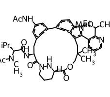 CCn1c(-c2cccnc2[C@H](C)OC)c2c3cc(ccc31)-c1cc(cc(NC(C)=O)c1)C[C@H](NC(=O)[C@H](C(C)C)N(C)C(C)=O)C(=O)N1CCC[C@H](N1)C(=O)OCC(C)(C)C2